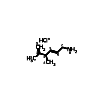 C=C(C)C(C)C=CCN.Cl